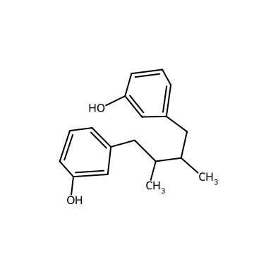 CC(Cc1cccc(O)c1)C(C)Cc1cccc(O)c1